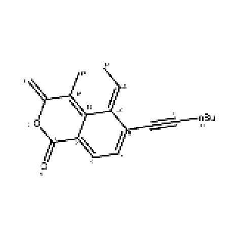 C=c1oc(=O)c2ccc(C#CCCCC)/c(=C/C)c2c1C